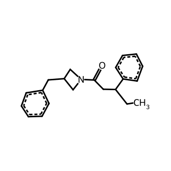 CCC(CC(=O)N1CC(Cc2ccccc2)C1)c1ccccc1